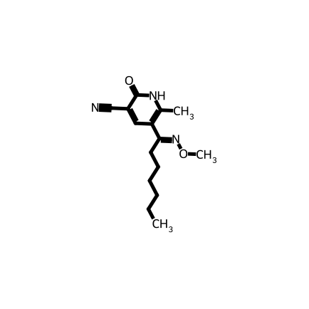 CCCCCCC(=NOC)c1cc(C#N)c(=O)[nH]c1C